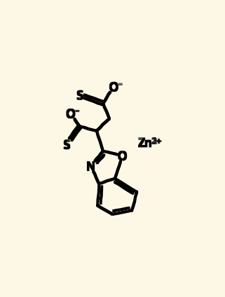 [O-]C(=S)CC(C([O-])=S)c1nc2ccccc2o1.[Zn+2]